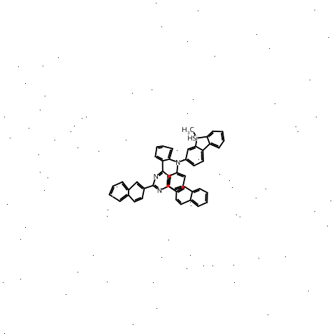 C[SiH]1c2ccccc2-c2ccc(N(c3ccccc3)c3ccccc3-c3nc(-c4ccc5ccccc5c4)nc(-c4ccc5ccccc5c4)n3)cc21